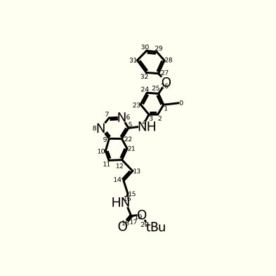 Cc1cc(Nc2ncnc3ccc(C=CCNC(=O)OC(C)(C)C)cc23)ccc1Oc1ccccc1